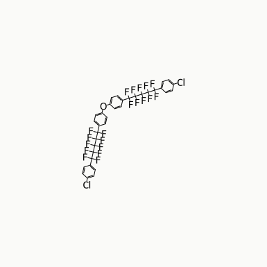 FC(F)(c1ccc(Cl)cc1)C(F)(F)C(F)(F)C(F)(F)C(F)(F)c1ccc(Oc2ccc(C(F)(F)C(F)(F)C(F)(F)C(F)(F)C(F)(F)c3ccc(Cl)cc3)cc2)cc1